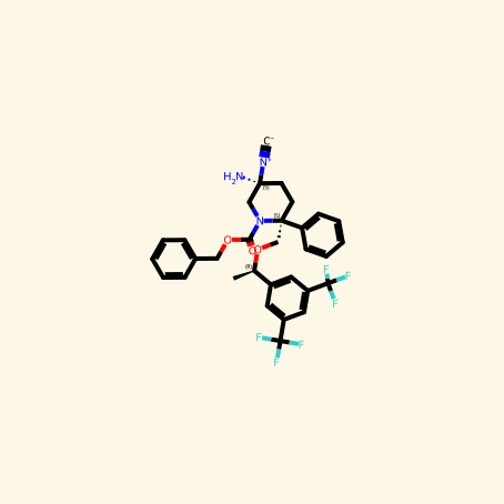 [C-]#[N+][C@@]1(N)CC[C@@](CO[C@H](C)c2cc(C(F)(F)F)cc(C(F)(F)F)c2)(c2ccccc2)N(C(=O)OCc2ccccc2)C1